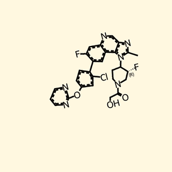 Cc1nc2cnc3cc(F)c(-c4ccc(Oc5ncccn5)cc4Cl)cc3c2n1C1CCN(C(=O)CO)C[C@H]1F